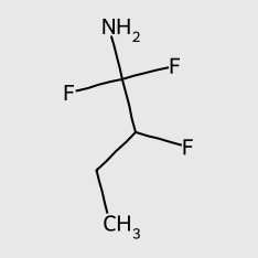 CCC(F)C(N)(F)F